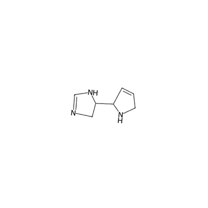 C1=CC(C2CN=CN2)NC1